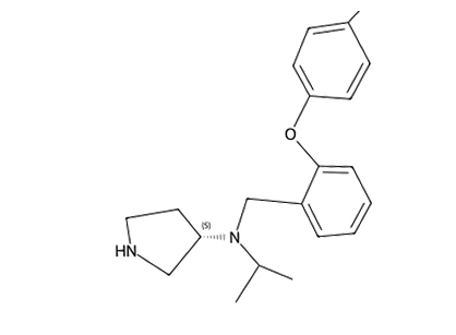 CC(C)N(Cc1ccccc1Oc1ccc(F)cc1)[C@H]1CCNC1